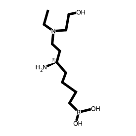 CCN(CCO)CC[C@H](N)CCCCB(O)O